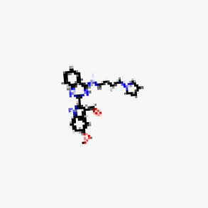 COc1ccc2[nH]c(-c3nc(NCCCCN4CCCC4)c4ccccc4n3)c(C=O)c2c1